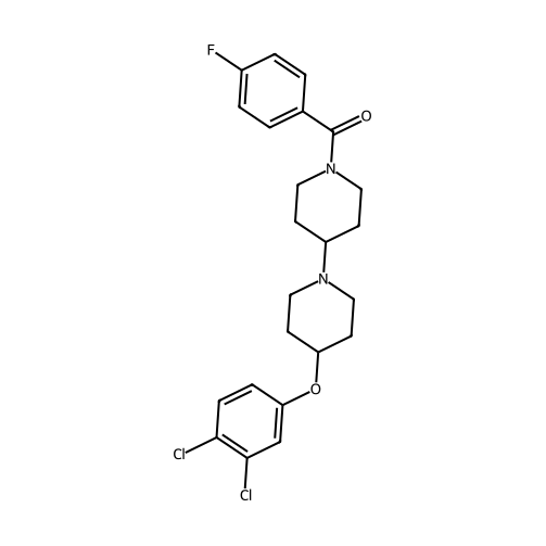 O=C(c1ccc(F)cc1)N1CCC(N2CCC(Oc3ccc(Cl)c(Cl)c3)CC2)CC1